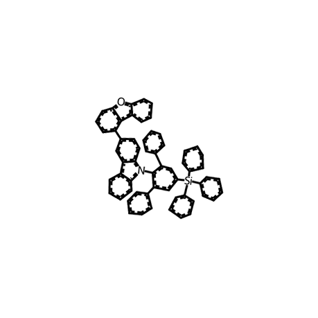 c1ccc(-c2cc([Si](c3ccccc3)(c3ccccc3)c3ccccc3)cc(-c3ccccc3)c2-n2c3ccccc3c3cc(-c4cccc5oc6ccccc6c45)ccc32)cc1